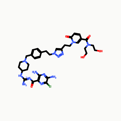 N/C(=N\C(=O)c1nc(Cl)c(N)nc1N)NC1CCN(Cc2ccc(CCn3cc(CCn4cc(C(=O)N(CCO)CCO)ccc4=O)nn3)cc2)CC1